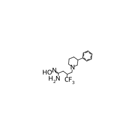 N/C(CC(CN1CCCC(c2ccccc2)C1)C(F)(F)F)=N\O